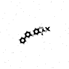 CN(C(=O)OC(C)(C)C)c1cc(Oc2cccc(-c3ccccc3)c2)ccc1N